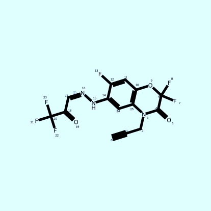 C#CCN1C(=O)C(F)(F)Oc2cc(F)c(N/N=C\C(=O)C(F)(F)F)cc21